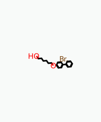 OCCCCCCOc1ccc(-c2ccccc2Br)cc1